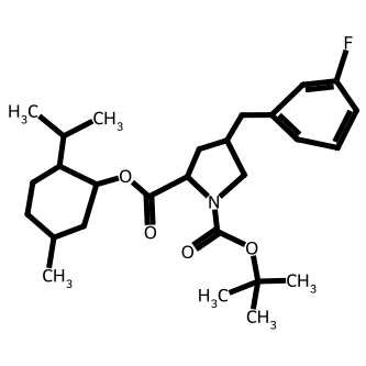 CC1CCC(C(C)C)C(OC(=O)C2CC(Cc3cccc(F)c3)CN2C(=O)OC(C)(C)C)C1